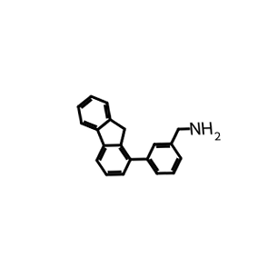 NCc1cccc(-c2cccc3c2Cc2ccccc2-3)c1